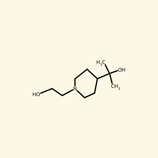 CC(C)(O)C1CCN(CCO)CC1